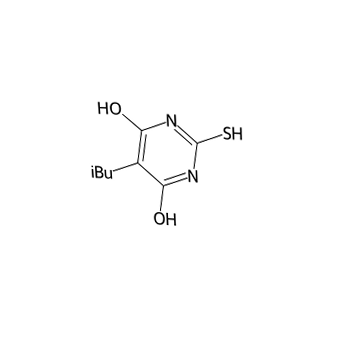 CCC(C)c1c(O)nc(S)nc1O